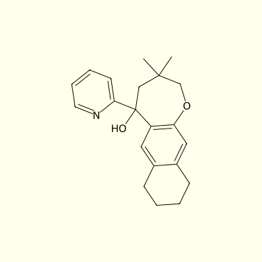 CC1(C)COc2cc3c(cc2C(O)(c2ccccn2)C1)CCCC3